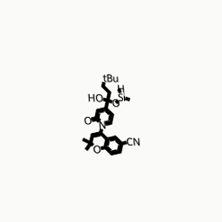 C[SiH](C)OC(O)(CCC(C)(C)C)c1ccn(C2=CC(C)(C)Oc3ccc(C#N)cc32)c(=O)c1